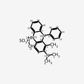 Cc1c(N(C)C)ccc2c1N(c1ccccc1)c1ccccc1N2.O=S(=O)(O)O